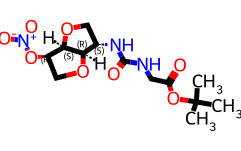 CC(C)(C)OC(=O)CNC(=O)N[C@H]1CO[C@H]2[C@@H]1OC[C@H]2O[N+](=O)[O-]